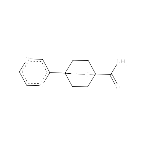 NC(=O)C12CCC(c3cnccn3)(CC1)OC2